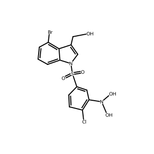 O=S(=O)(c1ccc(Cl)c(N(O)O)c1)n1cc(CO)c2c(Br)cccc21